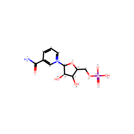 NC(=O)c1ccc[n+](C2OC(COP(=O)([O-])O)C(O)[C@H]2O)c1